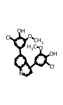 COc1cc(-c2ccc3nc[c]c(-c4cc(Cl)c(O)c(OC)c4)c3c2)cc(Cl)c1O